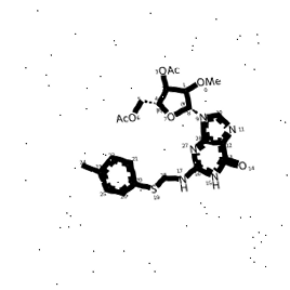 COC1C(OC(C)=O)[C@@H](COC(C)=O)O[C@H]1n1cnc2c(=O)[nH]c(NCSc3ccc(C)cc3)nc21